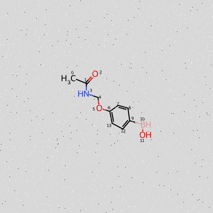 CC(=O)NCOc1ccc(BO)cc1